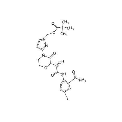 CC(C)(C)C(=O)OCn1ccc(N2CCOC([C@@H](O)C(=O)Nc3ccc(I)cc3C(N)=O)C2=O)n1